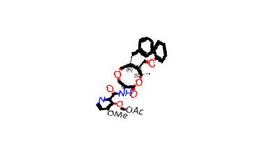 COc1ccnc(C(=O)N[C@H]2COC[C@H](Cc3ccccc3)[C@@H](COc3ccccc3)[C@H](C)OC2=O)c1OCOC(C)=O